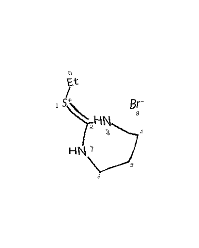 CC[S+]=C1NCCCN1.[Br-]